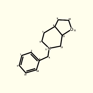 c1ccc(CN2CCC3CCOC3C2)cc1